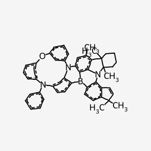 Cc1cc2c3c4c1C1(C)CCCCC1(C)N4c1c(ccc4c1C=CC4(C)C)B3c1ccc3cc1N2c1cccc(c1)Oc1cccc(c1)N3c1ccccc1